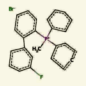 C[P+](c1ccccc1)(c1ccccc1)c1ccccc1-c1cccc(F)c1.[Br-]